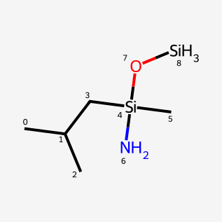 CC(C)C[Si](C)(N)O[SiH3]